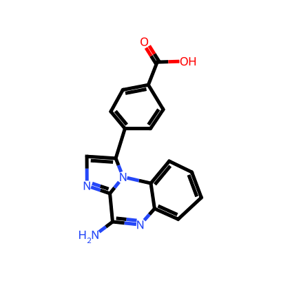 Nc1nc2ccccc2n2c(-c3ccc(C(=O)O)cc3)cnc12